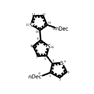 CCCCCCCCCCc1ccsc1-c1ccc(-c2sccc2CCCCCCCCCC)s1